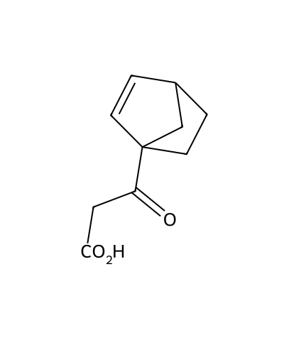 O=C(O)CC(=O)C12C=CC(CC1)C2